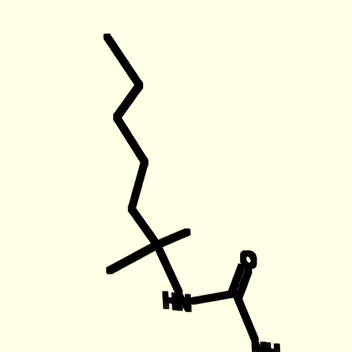 CCCCCC(C)(C)NC(N)=O